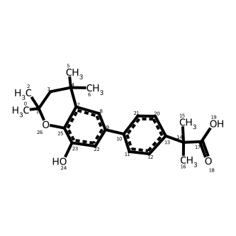 CC1(C)CC(C)(C)c2cc(-c3ccc(C(C)(C)C(=O)O)cc3)cc(O)c2O1